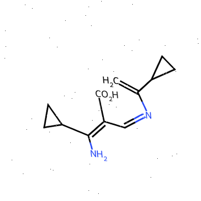 C=C(/N=C\C(C(=O)O)=C(/N)C1CC1)C1CC1